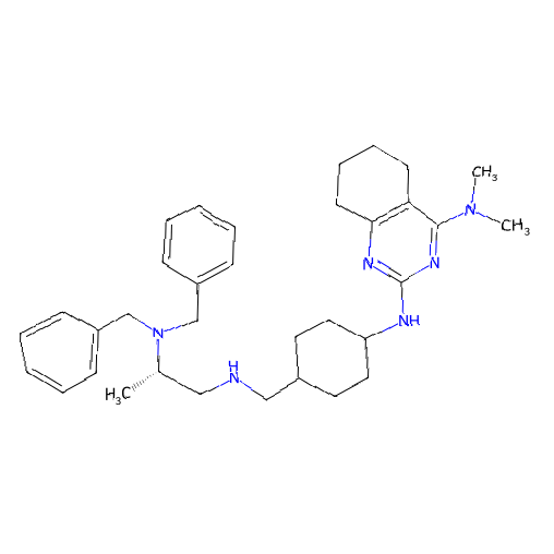 C[C@@H](CNCC1CCC(Nc2nc3c(c(N(C)C)n2)CCCC3)CC1)N(Cc1ccccc1)Cc1ccccc1